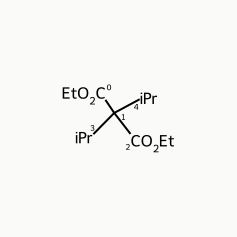 CCOC(=O)C(C(=O)OCC)(C(C)C)C(C)C